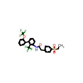 CCS(=O)(=O)c1ccc(CC(=O)Nc2cccc(-c3ccccc3OC(F)(F)F)c2C(F)(F)F)cc1